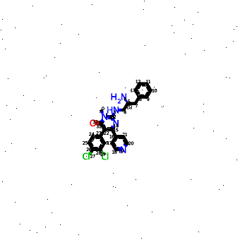 Cn1c(NC[C@@H](N)Cc2ccccc2)nc(-c2ccncc2)c(-c2ccc(Cl)c(Cl)c2)c1=O